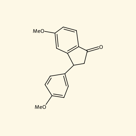 COc1ccc(C2CC(=O)c3ccc(OC)cc32)cc1